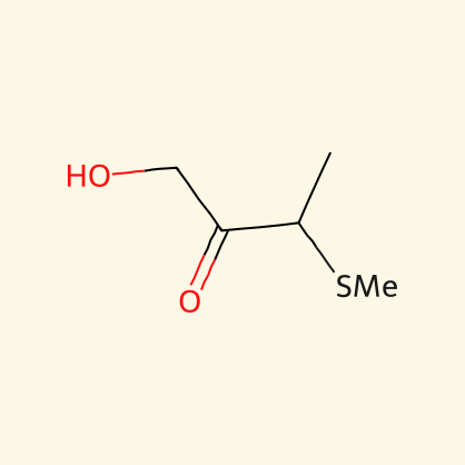 CSC(C)C(=O)CO